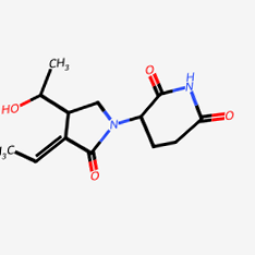 C/C=C1/C(=O)N(C2CCC(=O)NC2=O)CC1C(C)O